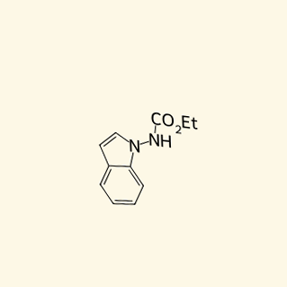 CCOC(=O)Nn1ccc2ccccc21